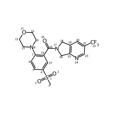 CS(=O)(=O)c1ccc(N2CCOCC2)c(C(=O)N2Cc3cc(C(F)(F)F)cnc3C2)c1